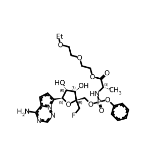 CCOCCOCCOC(=O)[C@H](C)NP(=O)(OC[C@@]1(CF)O[C@@H](c2ccc3c(N)ncnn23)[C@H](O)[C@@H]1O)Oc1ccccc1